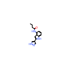 CCCC(=O)Nc1cccc2[nH]c(-c3cn[nH]c3)cc12